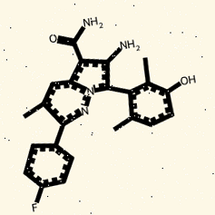 Cc1cc2c(C(N)=O)c(N)c(-c3c(C)ccc(O)c3C)n2nc1-c1ccc(F)cc1